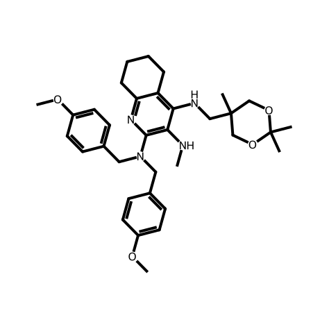 CNc1c(N(Cc2ccc(OC)cc2)Cc2ccc(OC)cc2)nc2c(c1NCC1(C)COC(C)(C)OC1)CCCC2